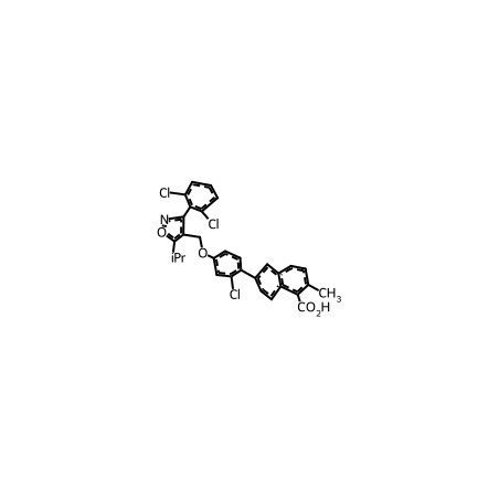 Cc1ccc2cc(-c3ccc(OCc4c(-c5c(Cl)cccc5Cl)noc4C(C)C)cc3Cl)ccc2c1C(=O)O